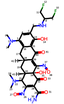 CN(C)c1cc(CNC(CF)CF)c(O)c2c1C[C@H]1C[C@H]3C(N(C)C)C(N=O)=C(C(N)=O)C(=O)[C@@]3(O)C(N=O)=C1C2=O